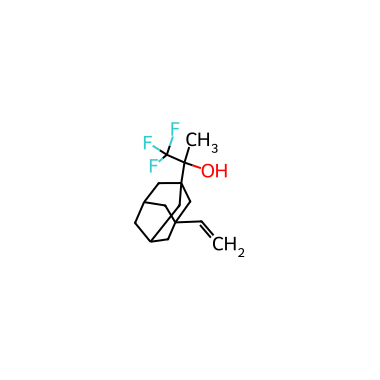 C=CC12CC3CC(C1)CC(C(C)(O)C(F)(F)F)(C3)C2